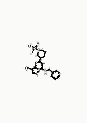 Bc1cnn2c(NCc3cccnc3)cc(C3CCCN(S(C)(=O)=O)C3)nc12